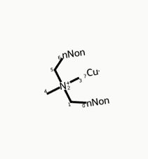 CCCCCCCCCC[N+](C)(C)CCCCCCCCCC.[Cu]